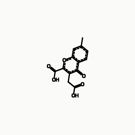 Cc1ccc2c(=O)c(CC(=O)O)c(C(=O)O)oc2c1